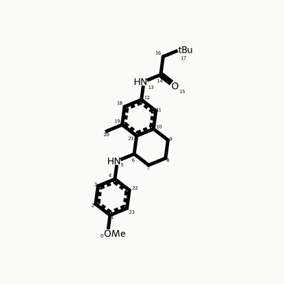 COc1ccc(NC2CCCc3cc(NC(=O)CC(C)(C)C)cc(C)c32)cc1